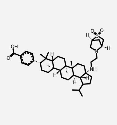 CC(C)C1CC[C@]2(NCCN3C[C@@H]4C[C@H]3CS4(=O)=O)CC[C@]3(C)[C@H](CC[C@@H]4[C@@]5(C)CC[C@H](c6ccc(C(=O)O)cc6)C(C)(C)[C@@H]5CC[C@]43C)[C@@H]12